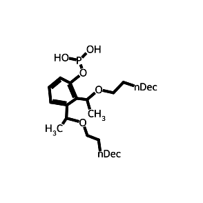 CCCCCCCCCCCCOC(C)c1cccc(OP(O)O)c1C(C)OCCCCCCCCCCCC